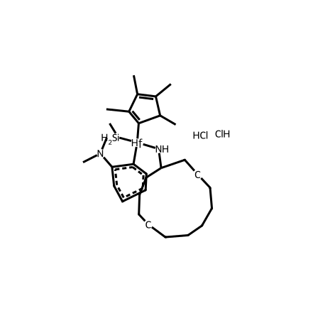 C[SiH2][Hf]([NH]C1CCCCCCCCCCC1)([C]1=C(C)C(C)=C(C)C1C)[c]1ccccc1N(C)C.Cl.Cl